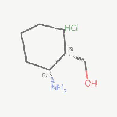 Cl.N[C@@H]1CCCC[C@@H]1CO